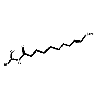 CCCCCCC=CCCCCCCCC(=O)NC(O)CC